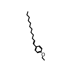 CCCCCCCCCCC=Cc1ccc(OCC)cc1